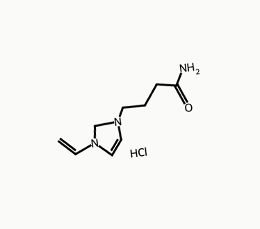 C=CN1C=CN(CCCC(N)=O)C1.Cl